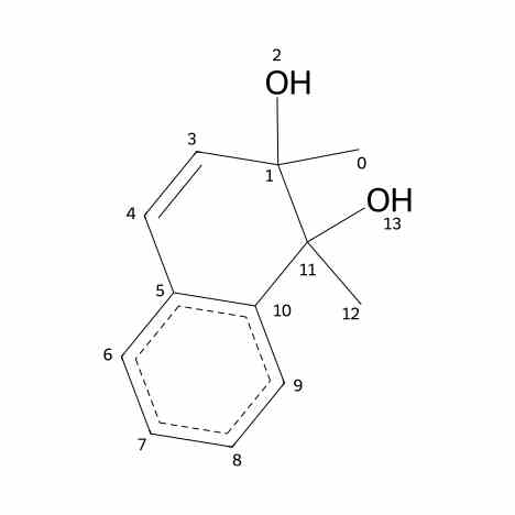 CC1(O)C=Cc2ccccc2C1(C)O